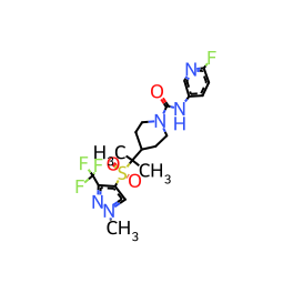 Cn1cc(S(=O)(=O)C(C)(C)C2CCN(C(=O)Nc3ccc(F)nc3)CC2)c(C(F)(F)F)n1